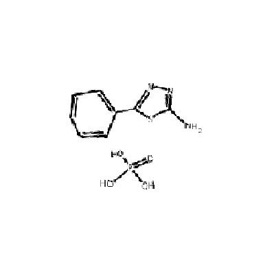 Nc1nnc(-c2ccccc2)s1.O=P(O)(O)O